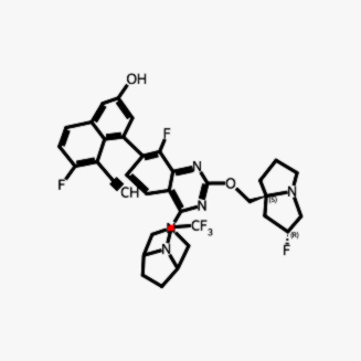 C#Cc1c(F)ccc2cc(O)cc(-c3ccc4c(N5CC6CCC(C5)N6CC(F)(F)F)nc(OC[C@@]56CCCN5C[C@H](F)C6)nc4c3F)c12